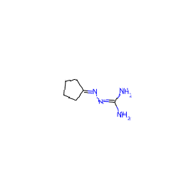 NC(N)=NN=C1CCCC1